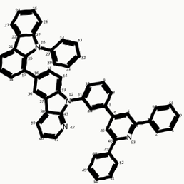 c1ccc(-c2cc(-c3cccc(-n4c5ccc(-c6cccc7c8ccccc8n(-c8ccccc8)c67)cc5c5cccnc54)c3)cc(-c3ccccc3)n2)cc1